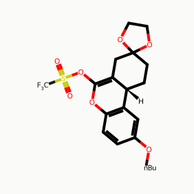 CCCCOc1ccc2c(c1)[C@H]1CCC3(CC1=C(OS(=O)(=O)C(F)(F)F)O2)OCCO3